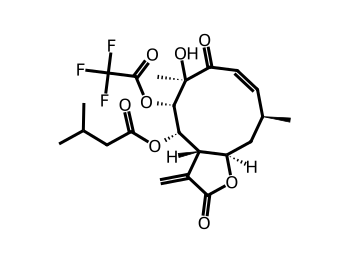 C=C1C(=O)O[C@@H]2C[C@H](C)/C=C\C(=O)[C@](C)(O)[C@@H](OC(=O)C(F)(F)F)[C@@H](OC(=O)CC(C)C)[C@@H]12